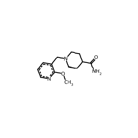 COc1ncccc1CN1CCC(C(N)=O)CC1